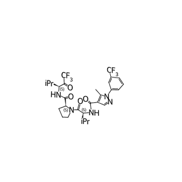 Cc1c(C(=O)N[C@H](C(=O)N2CCC[C@H]2C(=O)N[C@H](C(=O)C(F)(F)F)C(C)C)C(C)C)cnn1-c1cccc(C(F)(F)F)c1